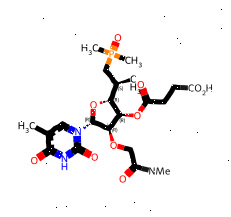 CNC(=O)CO[C@@H]1[C@H](OC(=O)CCC(=O)O)[C@@H]([C@H](C)CP(C)(C)=O)O[C@H]1n1cc(C)c(=O)[nH]c1=O